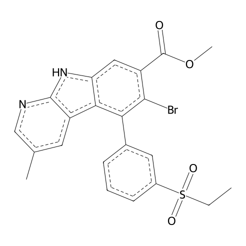 CCS(=O)(=O)c1cccc(-c2c(Br)c(C(=O)OC)cc3[nH]c4ncc(C)cc4c23)c1